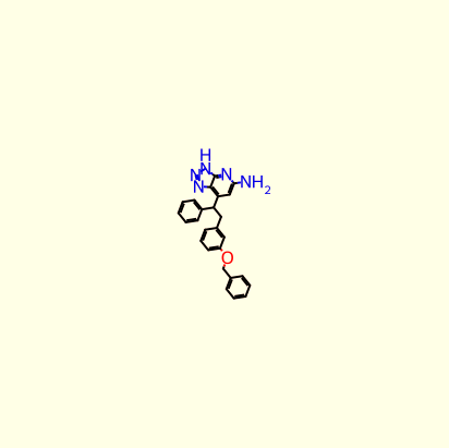 Nc1cc(C(Cc2cccc(OCc3ccccc3)c2)c2ccccc2)c2nn[nH]c2n1